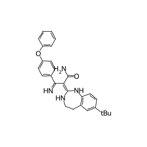 CC(C)(C)c1ccc2c(c1)CCN/C(=C(\C(=N)c1ccc(Oc3ccccc3)cc1)C(N)=O)N2